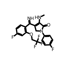 CNC1=C(C(=N)c2ccc(F)cc2OCC(F)(F)F)CN(c2ccc(F)cc2)C1=O